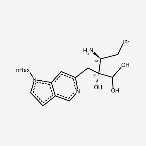 CCCCCCn1ccc2cnc(C[C@](O)(C(O)O)[C@@H](N)CC(C)C)cc21